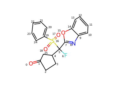 O=C1CCC(C(F)(c2nc3ccccc3o2)S(=O)(=O)c2ccccc2)C1